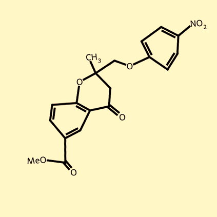 COC(=O)c1ccc2c(c1)C(=O)CC(C)(COc1ccc([N+](=O)[O-])cc1)O2